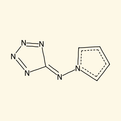 c1ccn(N=C2N=NN=N2)c1